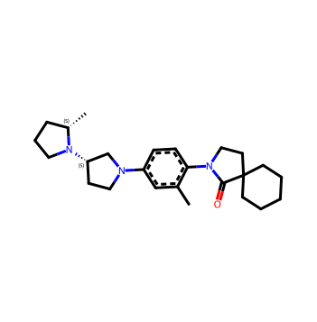 Cc1cc(N2CC[C@H](N3CCC[C@@H]3C)C2)ccc1N1CCC2(CCCCC2)C1=O